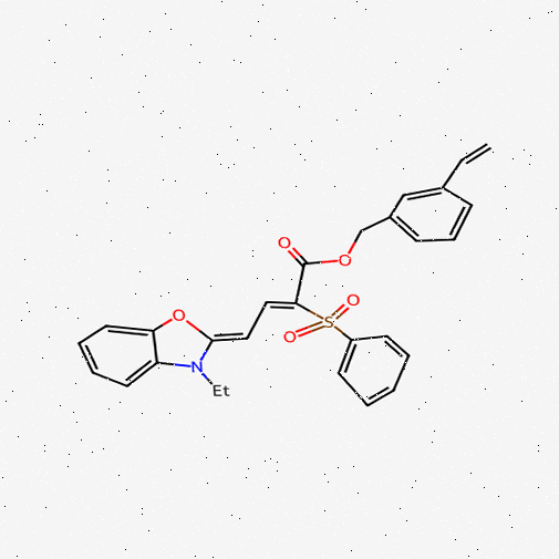 C=Cc1cccc(COC(=O)/C(=C/C=C2\Oc3ccccc3N2CC)S(=O)(=O)c2ccccc2)c1